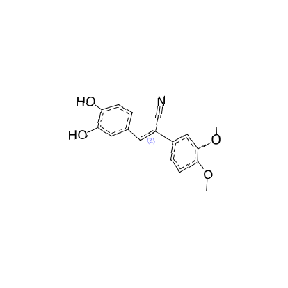 COc1ccc(/C(C#N)=C/c2ccc(O)c(O)c2)cc1OC